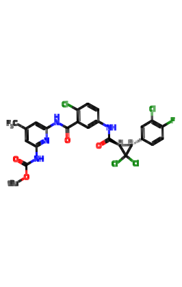 CC(C)(C)OC(=O)Nc1cc(C(F)(F)F)cc(NC(=O)c2cc(NC(=O)[C@H]3[C@H](c4ccc(F)c(Cl)c4)C3(Cl)Cl)ccc2Cl)n1